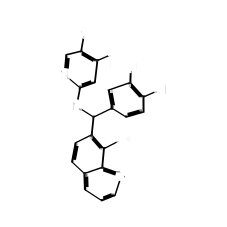 Cc1cc(NC(c2ccc(Cl)c(C(F)(F)F)c2)c2ccc3cccnc3c2O)ncc1Cl